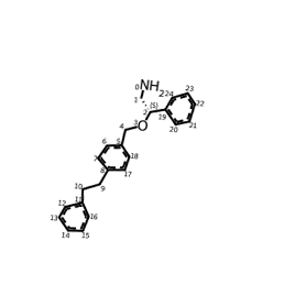 NC[C@@H](OCc1ccc(CCc2ccccc2)cc1)c1ccccc1